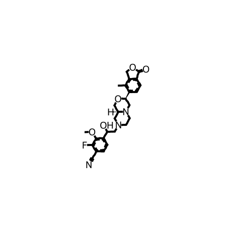 COc1c(C(O)CN2CCN3C[C@H](c4ccc5c(c4C)COC5=O)OC[C@@H]3C2)ccc(C#N)c1F